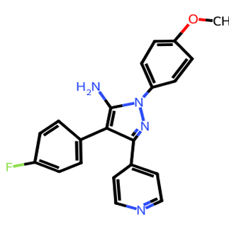 COc1ccc(-n2nc(-c3ccncc3)c(-c3ccc(F)cc3)c2N)cc1